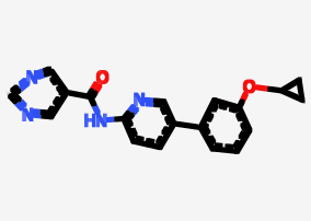 O=C(Nc1ccc(-c2cccc(OC3CC3)c2)cn1)c1cncnc1